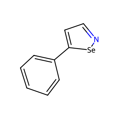 c1ccc(-c2ccn[se]2)cc1